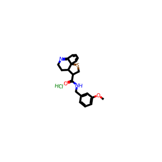 COc1cccc(CNC(=O)C2CSC34C=CC=CC3=NCCC24)c1.Cl